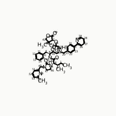 CC[C@H](C)[C@@H](C(=O)N[C@@H](Cc1ccccc1)[C@@H](O)CN(Cc1ccc(-c2ccccn2)cc1)NC(=O)O[C@@H]1C(=O)OCC1(C)C)N1CCN(Cc2cccc(C)n2)C1=O